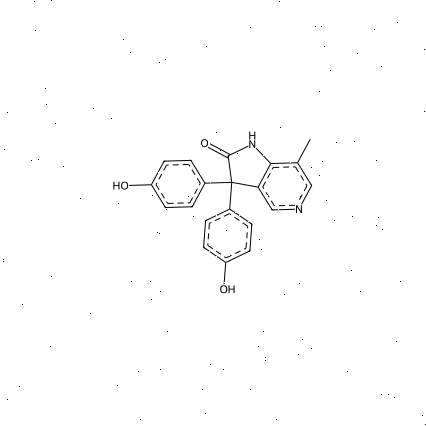 Cc1cncc2c1NC(=O)C2(c1ccc(O)cc1)c1ccc(O)cc1